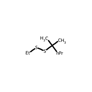 CCCC(C)(C)SSCC